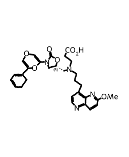 COc1ccc2nccc(CCCN(CCC(=O)O)C[C@@H]3CN(C4=COC=C(C5=CC=CCC5)O4)C(=O)O3)c2n1